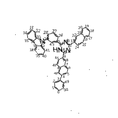 c1ccc(-c2ccc3cc(C4=NC(c5ccc6ccccc6c5)=NC(c5cccc(-n6c7ccccc7c7ccccc76)c5)N4)ccc3c2)cc1